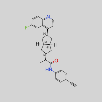 C#Cc1ccc(NC(=O)C(C)[C@H]2C[C@H]3C[C@@H](c4ccnc5ccc(F)cc45)C[C@H]3C2)cc1